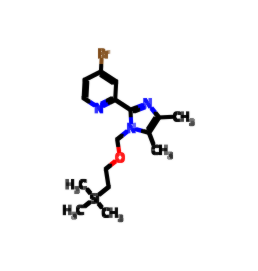 Cc1nc(-c2cc(Br)ccn2)n(COCC[Si](C)(C)C)c1C